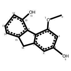 COc1cc(O)cc2c1-c1c(O)cccc1C2